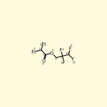 CCC(CC)C(=O)OCC(F)(F)C(F)F